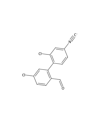 [C-]#[N+]c1ccc(-c2cc(Cl)ccc2C=O)c(Cl)c1